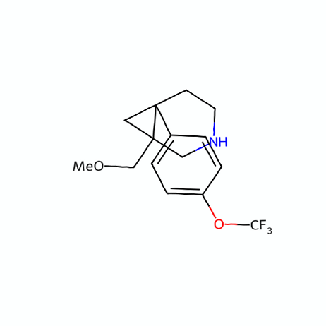 COCC12CNCCC1(c1ccc(OC(F)(F)F)cc1)C2